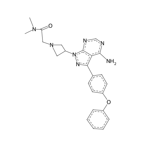 CN(C)C(=O)CN1CC(n2nc(-c3ccc(Oc4ccccc4)cc3)c3c(N)ncnc32)C1